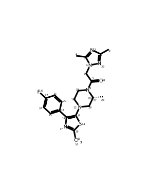 Cc1nc(C)n(CC(=O)N2CCN(c3sc(C(F)(F)F)nc3-c3ccc(F)cc3)C[C@H]2C)n1